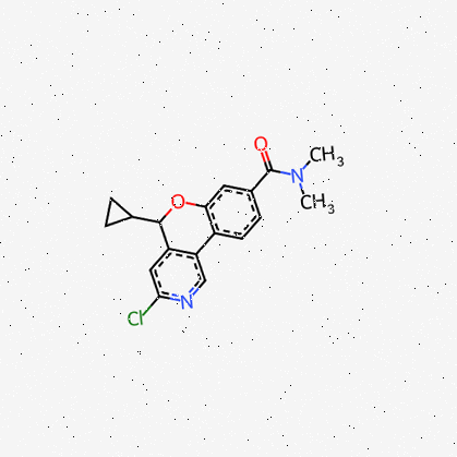 CN(C)C(=O)c1ccc2c(c1)OC(C1CC1)c1cc(Cl)ncc1-2